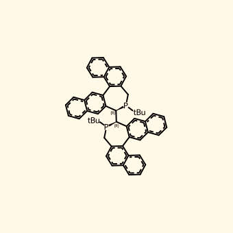 CC(C)(C)P1Cc2ccc3ccccc3c2-c2cc3ccccc3cc2[C@@H]1[C@H]1c2cc3ccccc3cc2-c2c(ccc3ccccc23)CP1C(C)(C)C